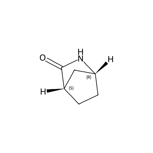 O=C1N[C@@H]2CC[C@H]1C2